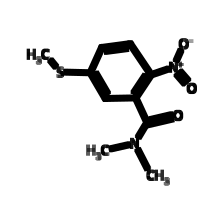 CSc1ccc([N+](=O)[O-])c(C(=O)N(C)C)c1